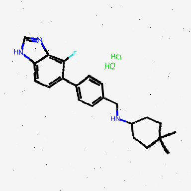 CC1(C)CCC(NCc2ccc(-c3ccc4[nH]cnc4c3F)cc2)CC1.Cl.Cl